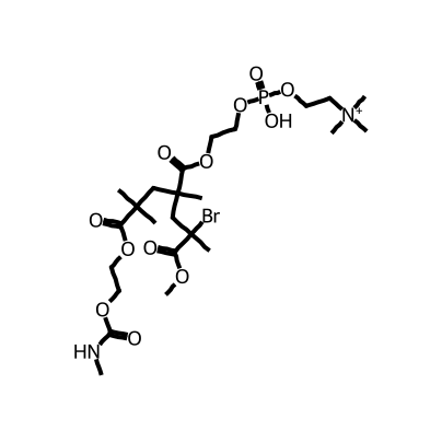 CNC(=O)OCCOC(=O)C(C)(C)CC(C)(CC(C)(Br)C(=O)OC)C(=O)OCCOP(=O)(O)OCC[N+](C)(C)C